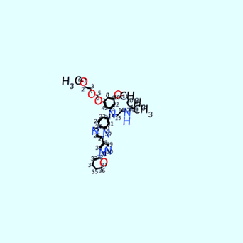 COCCOCOc1cc(OC)cc(N(CCNC(C)C)c2ccc3ncc(-c4cnn(C5CCCCO5)c4)nc3c2)c1